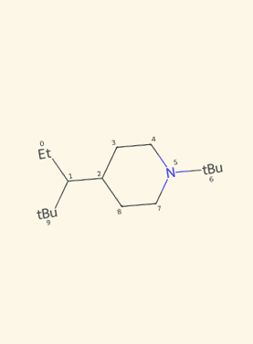 CCC(C1CCN(C(C)(C)C)CC1)C(C)(C)C